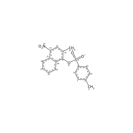 Cc1ccc(S(=O)(=O)Oc2c(C)cc([N+](=O)[O-])c3ccccc23)cc1